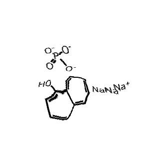 O=P([O-])([O-])[O-].Oc1cccc2ccccc12.[Na+].[Na+].[Na+]